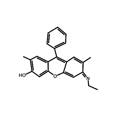 CC/N=c1\cc2oc3cc(O)c(C)cc3c(-c3ccccc3)c-2cc1C